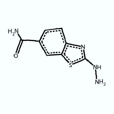 NNc1nc2ccc(C(N)=O)cc2s1